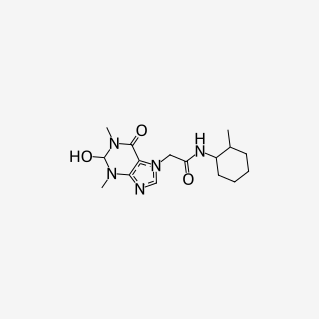 CC1CCCCC1NC(=O)Cn1cnc2c1C(=O)N(C)C(O)N2C